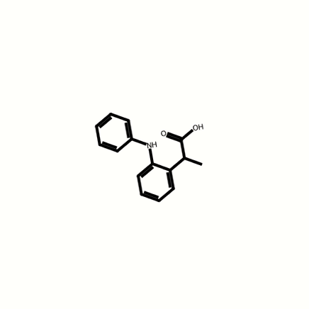 CC(C(=O)O)c1ccccc1Nc1ccccc1